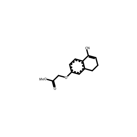 COC(=O)COc1ccc2c(c1)CCC=C2C#N